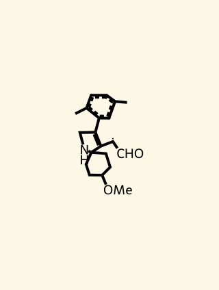 COC1CCC2(CC1)NCC(c1cc(C)ccc1C)=C2[CH]C=O